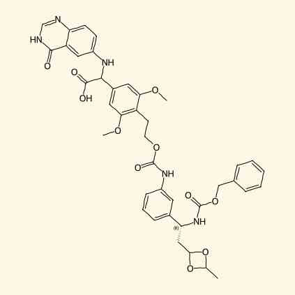 COc1cc(C(Nc2ccc3nc[nH]c(=O)c3c2)C(=O)O)cc(OC)c1CCOC(=O)Nc1cccc([C@@H](CC2OC(C)O2)NC(=O)OCc2ccccc2)c1